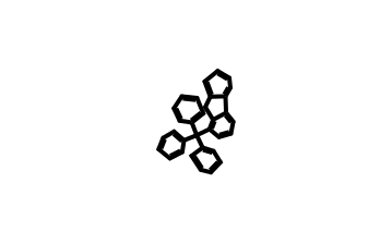 [CH]1c2ccccc2-c2cccc(C(c3ccccc3)(c3ccccc3)c3ccccc3)c21